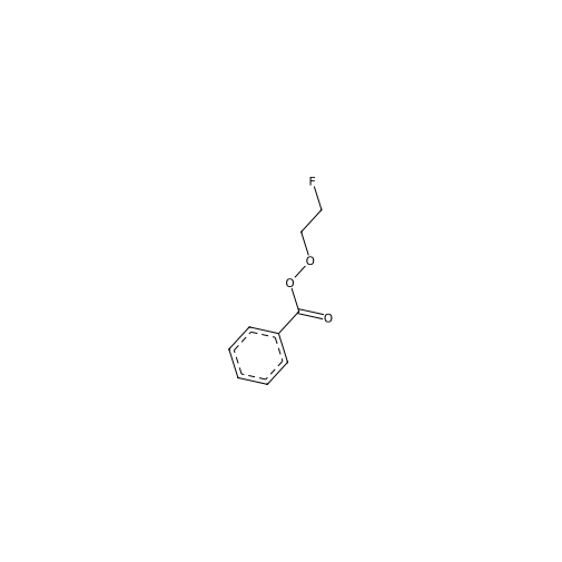 O=C(OOCCF)c1ccccc1